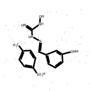 COc1cccc(C=NNC(=N)NO)c1.Cc1ccc(S(=O)(=O)O)cc1